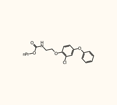 CCCOC(=O)NCCOc1ccc(Oc2ccccc2)cc1Cl